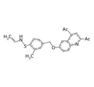 C=CNSc1ccc(COc2ccc3nc(C(C)=O)cc(C(C)=O)c3c2)cc1C